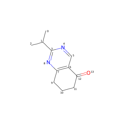 CC(C)c1ncc2c(n1)CCCC2=O